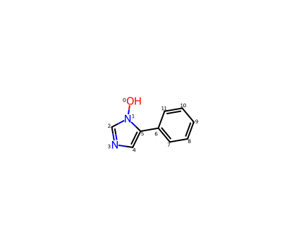 On1cncc1-c1ccccc1